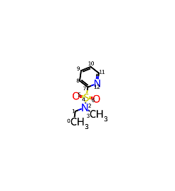 CCN(C)S(=O)(=O)c1ccccn1